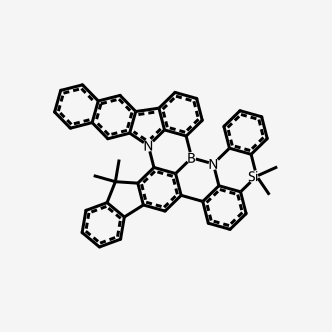 CC1(C)c2ccccc2-c2cc3c4c(c21)-n1c2cc5ccccc5cc2c2cccc(c21)B4N1c2ccccc2[Si](C)(C)c2cccc-3c21